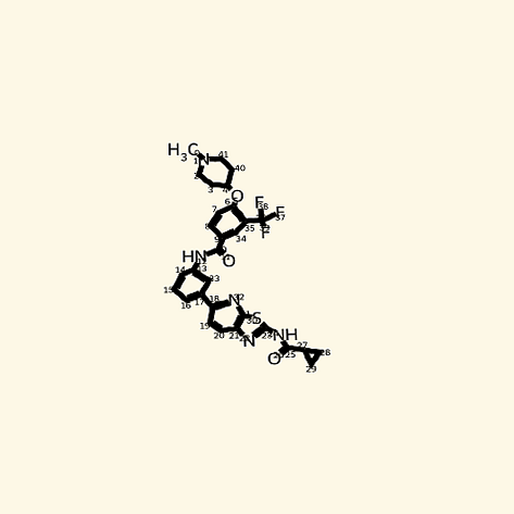 CN1CCC(Oc2ccc(C(=O)Nc3cccc(-c4ccc5nc(NC(=O)C6CC6)sc5n4)c3)cc2C(F)(F)F)CC1